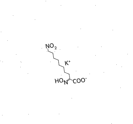 O=C([O-])C(CCCCCCCC[N+](=O)[O-])=NO.[K+]